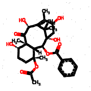 CC(=O)O[C@@]1(C)CC[C@H](O)[C@@]2(C)C(=O)[C@H](O)C3=C(C)[C@@H](O)C[C@@](O)([C@@H](OC(=O)c4ccccc4)[C@@H]21)C3(C)C